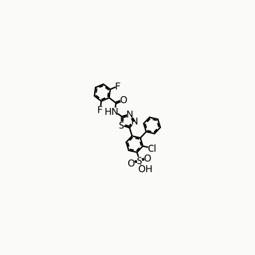 O=C(Nc1nnc(-c2ccc(S(=O)(=O)O)c(Cl)c2-c2ccccc2)s1)c1c(F)cccc1F